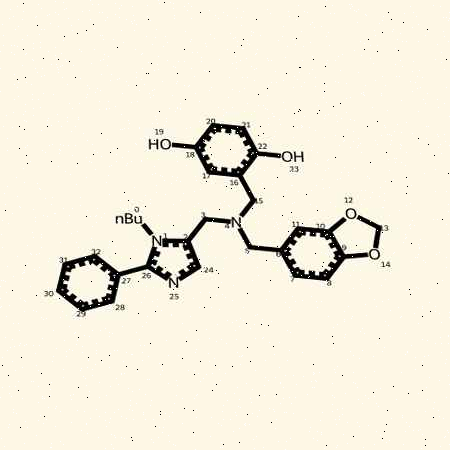 CCCCn1c(CN(Cc2ccc3c(c2)OCO3)Cc2cc(O)ccc2O)cnc1-c1ccccc1